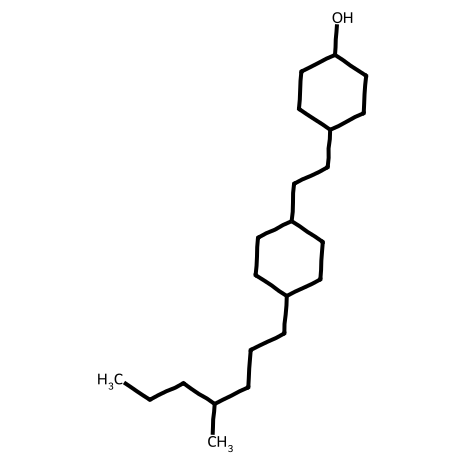 CCCC(C)CCCC1CCC(CCC2CCC(O)CC2)CC1